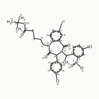 CC(c1ccc(Cl)cc1[N+](=O)[O-])N1C(=O)c2cc(I)ccc2N(CCCCC(=O)OC(C)(C)C)C(=O)C1c1ccc(Cl)cc1